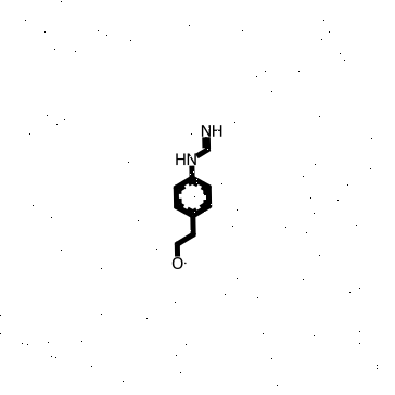 N=CNc1ccc(CC[O])cc1